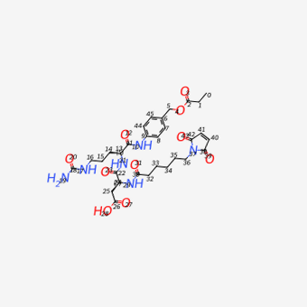 CCC(=O)OCc1ccc(NC(=O)[C@H](CCCNC(N)=O)NC(=O)[C@H](CC(=O)O)NC(=O)CCCCCN2C(=O)C=CC2=O)cc1